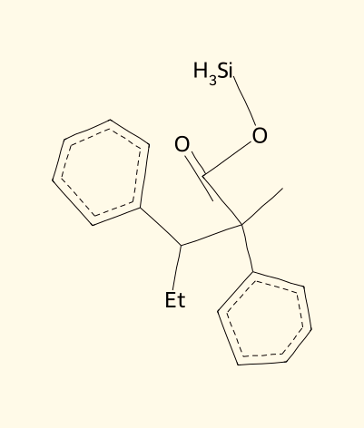 CCC(c1ccccc1)C(C)(C(=O)O[SiH3])c1ccccc1